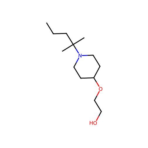 CCCC(C)(C)N1CCC(OCCO)CC1